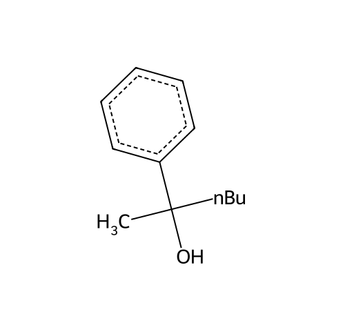 CCCCC(C)(O)c1ccccc1